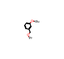 CC(C)OCc1cccc(OC(C)(C)C)c1